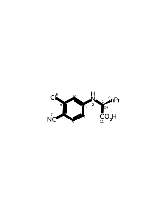 CCC[C@H](Nc1ccc(C#N)c(Cl)c1)C(=O)O